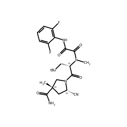 CN(C(=O)C(=O)Nc1c(F)cccc1F)[C@@H](CC(C)(C)C)C(=O)N1C[C@@](C)(C(N)=O)C[C@H]1C#N